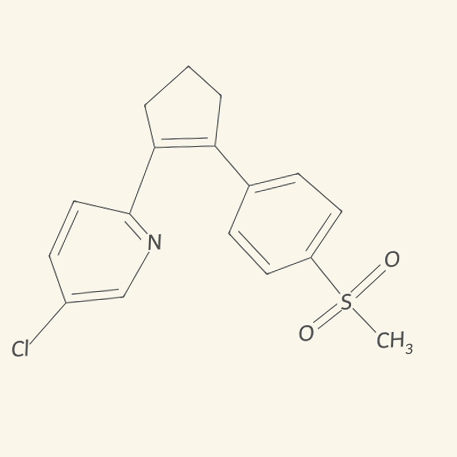 CS(=O)(=O)c1ccc(C2=C(c3ccc(Cl)cn3)CCC2)cc1